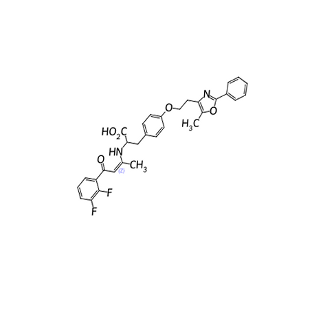 C/C(=C/C(=O)c1cccc(F)c1F)NC(Cc1ccc(OCCc2nc(-c3ccccc3)oc2C)cc1)C(=O)O